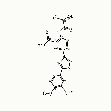 CCOc1ccc(-c2nc(-c3ccc(SC(=O)N(C)C)c(C(=O)OC)c3)cs2)cc1OCC